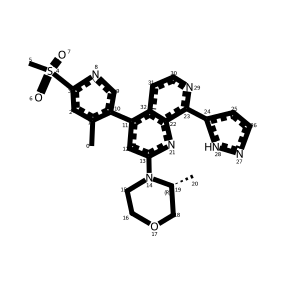 Cc1cc(S(C)(=O)=O)ncc1-c1cc(N2CCOC[C@H]2C)nc2c(-c3ccn[nH]3)nccc12